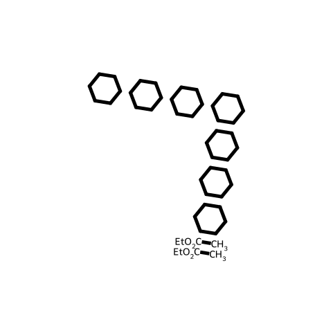 C1CCCCC1.C1CCCCC1.C1CCCCC1.C1CCCCC1.C1CCCCC1.C1CCCCC1.C1CCCCC1.CCOC(C)=O.CCOC(C)=O